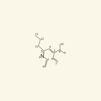 C=C/N=C(\C=C(/C=C)C(C)C)CCC